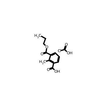 CCCOC(=O)c1cccc(C(=O)O)c1C.O=C(O)Cl